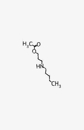 CCCCCNCCCOC(C)=O